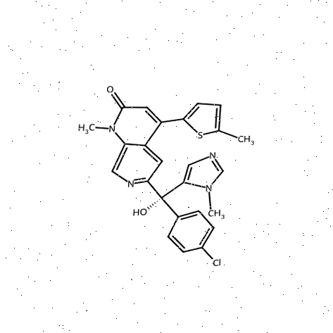 Cc1ccc(-c2cc(=O)n(C)c3cnc([C@](O)(c4ccc(Cl)cc4)c4cncn4C)cc23)s1